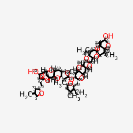 C=C1CO[C@@H](CC[C@]23C[C@@H](O)C(O2)[C@H]2CC(O3)[C@H]3O[C@@H](CC(=O)O[C@@H]4[C@@H](C)[C@@H]5O[C@@H]6C[C@]7(C[C@@H]8O[C@]9(C[C@H](C)[C@@H]%10OC[C@H](O)C[C@@H]%10O9)C[C@H](C)[C@@H]8O7)O[C@@H]6C[C@@H]5O[C@H]4C[C@H]4O[C@@H](C)C[C@@H](C)C4=C)CC[C@@H]3O2)C1